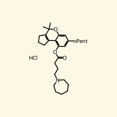 CCCCCc1cc(OC(=O)CCCN2CCCCCC2)c2c(c1)OC(C)(C)C1=C2CCC1.Cl